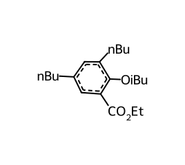 CCCCc1cc(CCCC)c(OCC(C)C)c(C(=O)OCC)c1